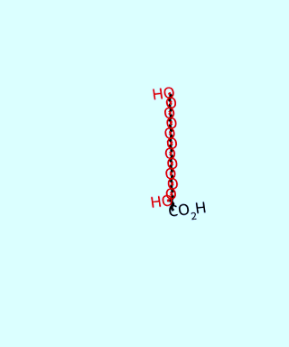 O=C(O)CCC(O)COCCOCCOCCOCCOCCOCCOCCOCCOCCOCCO